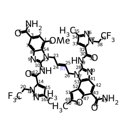 COc1cc(C(N)=O)cc2nc(NC(=O)c3cc(C)nn3CC(F)(F)F)n(C/C=C/Cn3c(NC(=O)c4cc(C)nn4CC(F)(F)F)nc4cc(C(N)=O)c5oc(C)cc5c43)c12